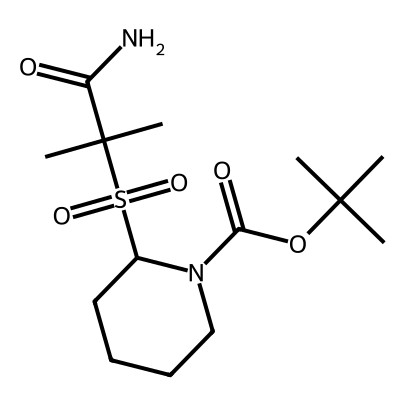 CC(C)(C)OC(=O)N1CCCCC1S(=O)(=O)C(C)(C)C(N)=O